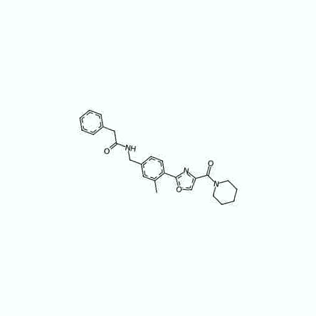 Cc1cc(CNC(=O)Cc2ccccc2)ccc1-c1nc(C(=O)N2CCCCC2)co1